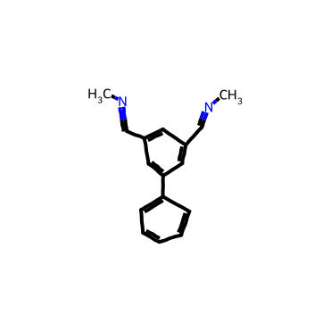 C/N=C/c1cc(/C=N/C)cc(-c2ccccc2)c1